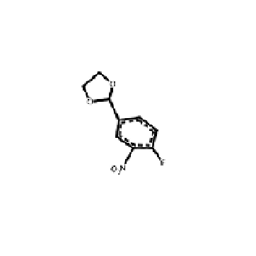 O=[N+]([O-])c1cc(C2OCCO2)ccc1F